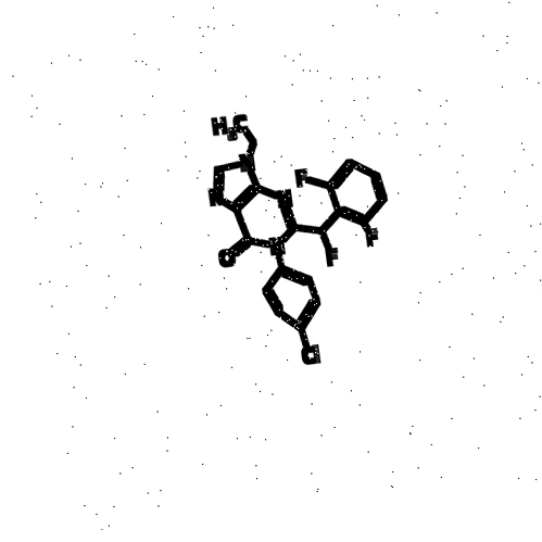 CCn1cnc2c(=O)n(-c3ccc(Cl)cc3)c(C(F)c3c(F)cccc3F)nc21